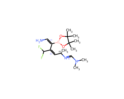 C[C@@H](/C=C(\C(=C/N)B1OC(C)(C)C(C)(C)O1)C(F)F)/N=C/N(C)C